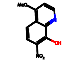 COc1ccnc2c(O)c([N+](=O)[O-])ccc12